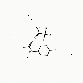 CC(=O)NC1CCC(N)CC1.O=C(O)C(F)(F)F